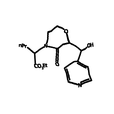 CCCC(C(=O)OCC)N1CCOC(C(O)c2ccncc2)C1=O